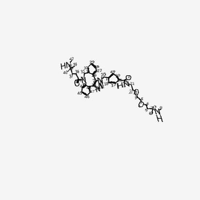 CNC(C)(C)CCOCCOCCNC(=O)c1ccc(Cn2nnc3c2-c2ccccc2CN(C(=O)CCC(C)(C)NC)c2ccccc2-3)cc1